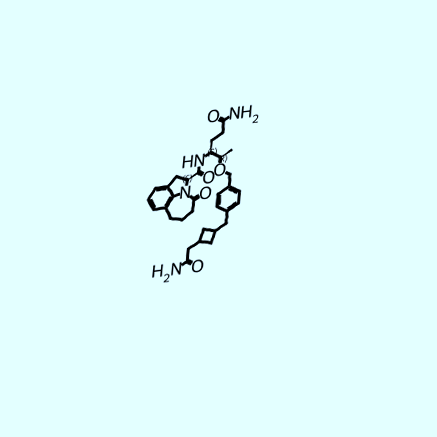 C[C@@H](OCc1ccc(CC2CC(CC(N)=O)C2)cc1)[C@H](CCC(N)=O)NC(=O)[C@@H]1Cc2cccc3c2N1C(=O)CCC3